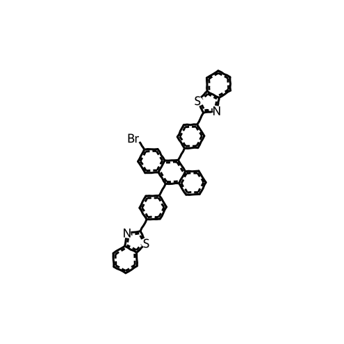 Brc1ccc2c(-c3ccc(-c4nc5ccccc5s4)cc3)c3ccccc3c(-c3ccc(-c4nc5ccccc5s4)cc3)c2c1